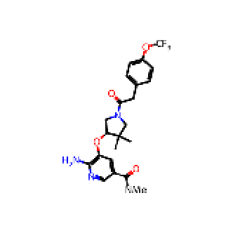 CNC(=O)c1cnc(N)c(O[C@H]2CN(C(=O)Cc3ccc(OC(F)(F)F)cc3)CC2(C)C)c1